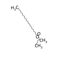 CCCCCCCCCCCCCCCCCCCCCC(=O)OCC(C)CCCC